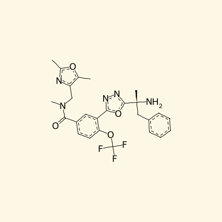 Cc1nc(CN(C)C(=O)c2ccc(OC(F)(F)F)c(-c3nnc([C@](C)(N)Cc4ccccc4)o3)c2)c(C)o1